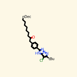 CCCCCCCCCCCCCCCCCC(=O)Cc1ccc(-c2nn3nc(C(C)(C)C)c(Cl)c3[nH]2)cc1